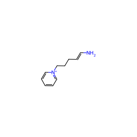 NC=CCCC[n+]1ccccc1